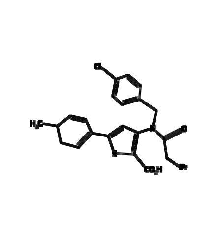 CC(C)CC(=O)N(Cc1ccc(Cl)cc1)c1cc(C2=CCC(C)C=C2)sc1C(=O)O